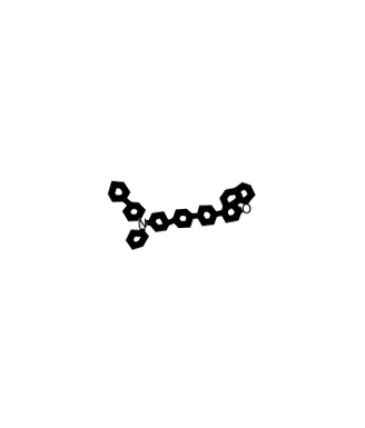 c1ccc(-c2ccc(N(c3ccccc3)c3ccc(-c4ccc(-c5ccc(-c6ccc7oc8cccc9ccc6c7c98)cc5)cc4)cc3)cc2)cc1